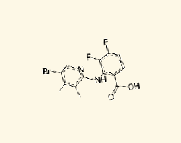 Cc1c(Br)cnc(Nc2c(C(=O)O)ccc(F)c2F)c1C